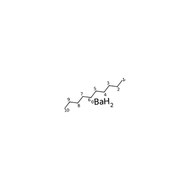 [BaH2].[CH2]CCCCCCCCC